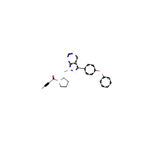 CC#CC(=O)N1CCC[C@H]1Cn1nc(-c2ccc(Oc3ccccc3)cc2)c2cncnc21